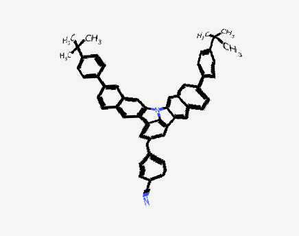 CC(C)(C)c1ccc(-c2ccc3cc4c5cc(-c6ccc(C#N)cc6)cc6c7cc8ccc(-c9ccc(C(C)(C)C)cc9)cc8cc7n(c4cc3c2)c56)cc1